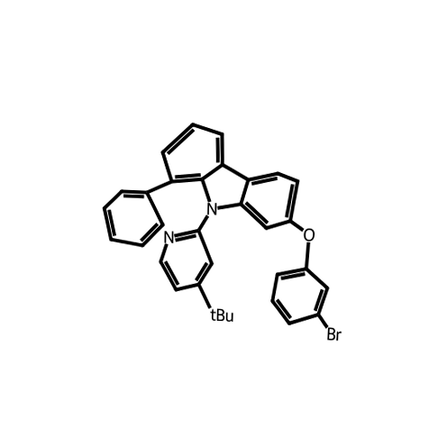 CC(C)(C)c1ccnc(-n2c3cc(Oc4cccc(Br)c4)ccc3c3cccc(-c4ccccc4)c32)c1